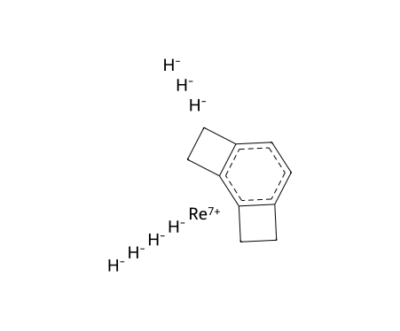 [H-].[H-].[H-].[H-].[H-].[H-].[H-].[Re+7].c1cc2c(c3c1CC3)CC2